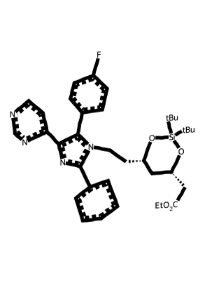 CCOC(=O)C[C@@H]1C[C@H](CCn2c(-c3ccccc3)nc(-c3ccncn3)c2-c2ccc(F)cc2)O[Si](C(C)(C)C)(C(C)(C)C)O1